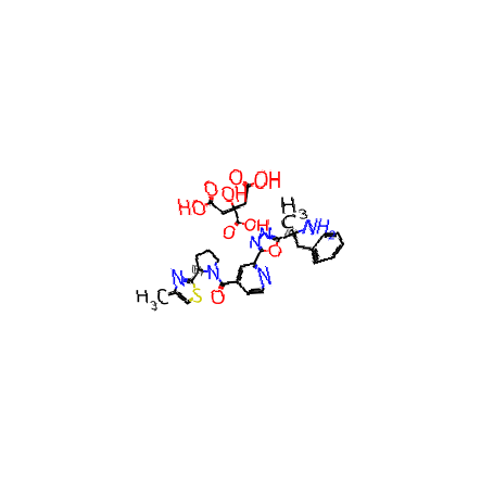 Cc1csc([C@H]2CCCN2C(=O)c2ccnc(-c3nnc([C@](C)(N)Cc4ccccc4)o3)c2)n1.O=C(O)CC(O)(CC(=O)O)C(=O)O